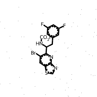 O=C(O)NC(Cc1cc(F)cc(F)c1)c1nc2ncsc2cc1Br